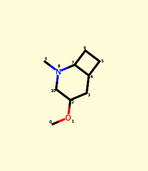 COC1CC2CCC2N(C)C1